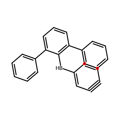 B(c1cc#ccc1)c1c(-c2ccccc2)cccc1-c1ccccc1